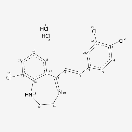 Cl.Cl.Clc1ccc(C=CC2=NCCNc3c(Cl)cccc32)cc1Cl